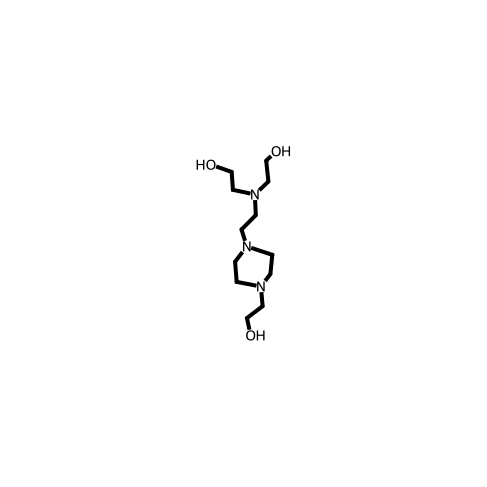 OCCN(CCO)CCN1CCN(CCO)CC1